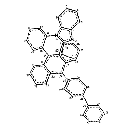 CCc1nc2ccccc2n1-c1ccccc1-c1c2ccccc2c(-c2ccc(-c3cccnc3)cc2)c2ccccc12